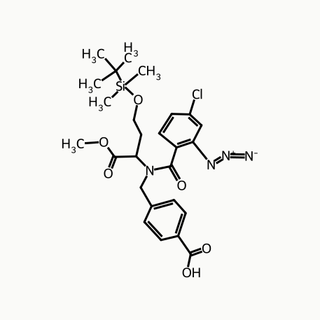 COC(=O)C(CCO[Si](C)(C)C(C)(C)C)N(Cc1ccc(C(=O)O)cc1)C(=O)c1ccc(Cl)cc1N=[N+]=[N-]